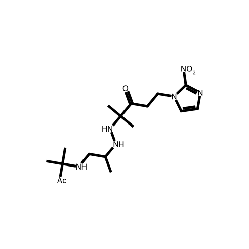 CC(=O)C(C)(C)NCC(C)NNC(C)(C)C(=O)CCn1ccnc1[N+](=O)[O-]